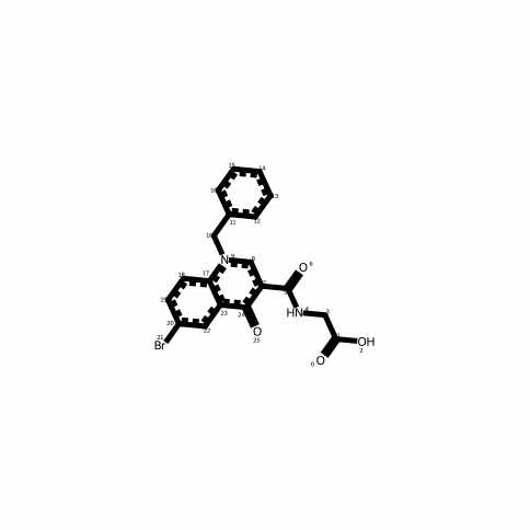 O=C(O)CNC(=O)c1cn(Cc2ccccc2)c2ccc(Br)cc2c1=O